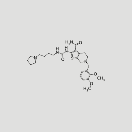 COc1cccc(CN2CCc3c(sc(NC(=O)NCCCCN4CCCC4)c3C(N)=O)C2)c1OC